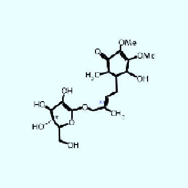 COC1=C(OC)C(O)C(C/C=C(\C)COC2=C(O)C(O)[C@@H](O)C(CO)O2)C(C)C1=O